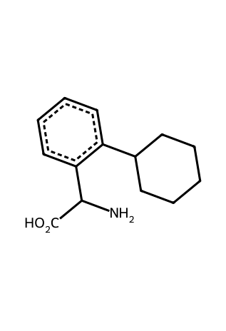 NC(C(=O)O)c1ccccc1C1CCCCC1